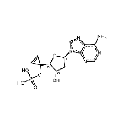 Nc1ncnc2c1ncn2[C@H]1C[C@H](O)[C@@H](C2(OP(=O)(O)O)C=C2)O1